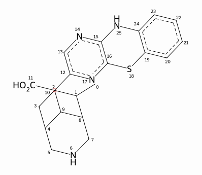 CC1CCC2CNCC1C2C(C(=O)O)c1cnc2c(n1)Sc1ccccc1N2